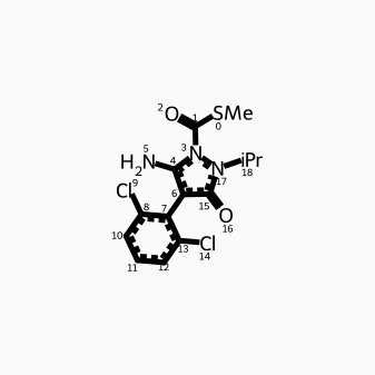 CSC(=O)n1c(N)c(-c2c(Cl)cccc2Cl)c(=O)n1C(C)C